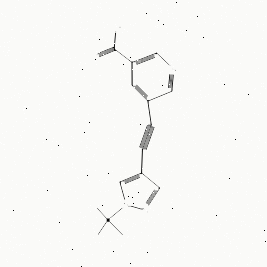 O=C(O)c1cncc(C#Cc2cnn(C(F)(F)F)c2)c1